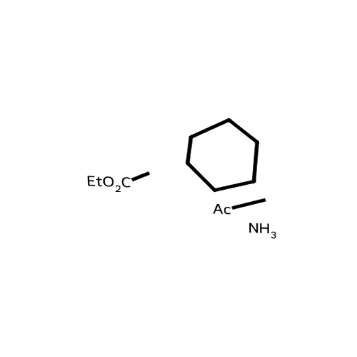 C1CCCCC1.CC(C)=O.CCOC(C)=O.N